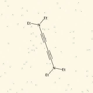 CCN(C#CC#CN(CC)CC)CC